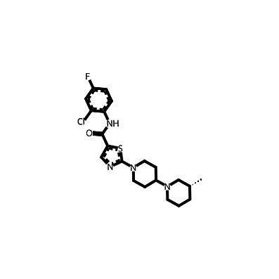 C[C@@H]1CCCN(C2CCN(c3ncc(C(=O)Nc4ccc(F)cc4Cl)s3)CC2)C1